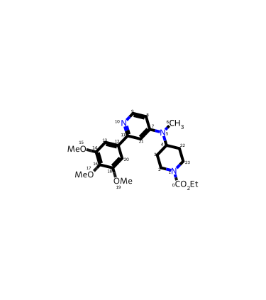 CCOC(=O)N1CCC(N(C)c2ccnc(-c3cc(OC)c(OC)c(OC)c3)c2)CC1